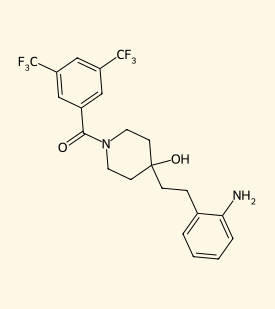 Nc1ccccc1CCC1(O)CCN(C(=O)c2cc(C(F)(F)F)cc(C(F)(F)F)c2)CC1